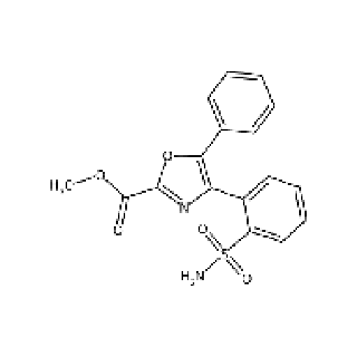 COC(=O)c1nc(-c2ccccc2S(N)(=O)=O)c(-c2ccccc2)o1